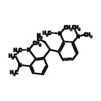 CCC(c1cccc(N(C)C)c1N(C)C)c1cccc(N(C)C)c1N(C)C